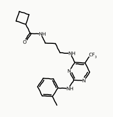 Cc1ccccc1Nc1ncc(C(F)(F)F)c(NCCCNC(=O)C2CCC2)n1